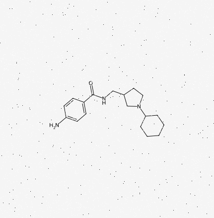 Nc1ccc(C(=O)NCC2CCN(C3CCCCC3)C2)cc1